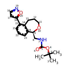 CC(C)(C)OC(=O)NC[C@@H]1OCCCc2c(-c3ccno3)cccc21